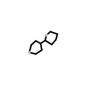 C1CCC([C]2CCOCC2)OC1